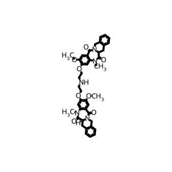 COc1cc2c(cc1OCCNCCOc1cc3c(cc1OC)C(=O)N1Cc4ccccc4C[C@H]1C(=O)N3C)N(C)C(=O)C1Cc3ccccc3CN1C2=O